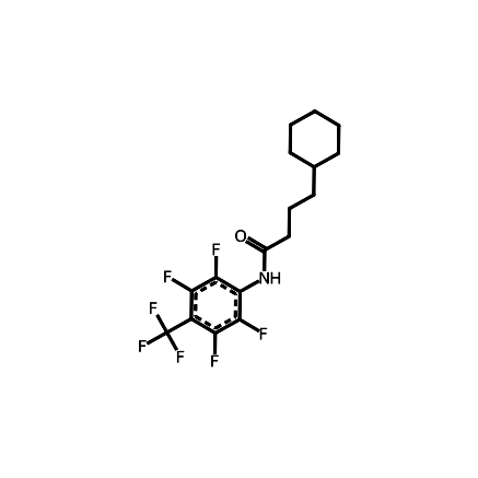 O=C(CCCC1CCCCC1)Nc1c(F)c(F)c(C(F)(F)F)c(F)c1F